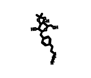 CC1(C)OC2C(O)[C@H](Cc3ccc(CCN=[N+]=[N-])cc3)OC(CO)[C@@H]2O1